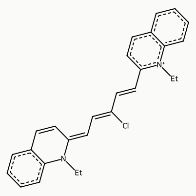 CCN1/C(=C/C=C(Cl)/C=C/c2ccc3ccccc3[n+]2CC)C=Cc2ccccc21